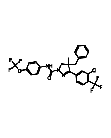 CC1(Cc2ccccc2)CN(C(=O)Nc2ccc(OC(F)(F)F)cc2)N=C1c1ccc(C(F)(F)F)c(Cl)c1